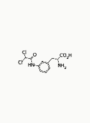 NC(Cc1cccc(NC(=O)C(Cl)Cl)c1)C(=O)O